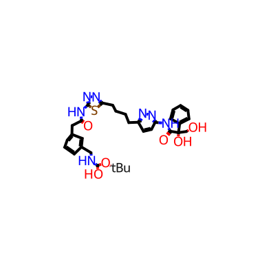 CC(C)(C)OC(O)NCc1cccc(CC(=O)Nc2nnc(CCCCc3ccc(NC(=O)C(O)(CO)c4ccccc4)nn3)s2)c1